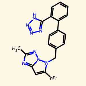 CCCc1cc2nc(C)nn2n1Cc1ccc(-c2ccccc2-c2nnn[nH]2)cc1